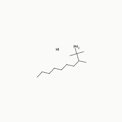 CCCCCCCC(C)C(C)(C)P.I